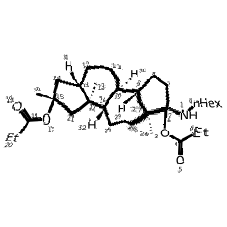 CCCCCCN[C@]1(OC(=O)CC)CC[C@H]2[C@@H]3CC[C@H]4C[C@@](C)(OC(=O)CC)C[C@]4(C)[C@H]3CC[C@@]21C